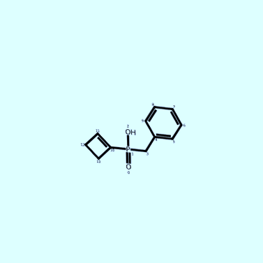 O=P(O)(Cc1ccccc1)C1=CCC1